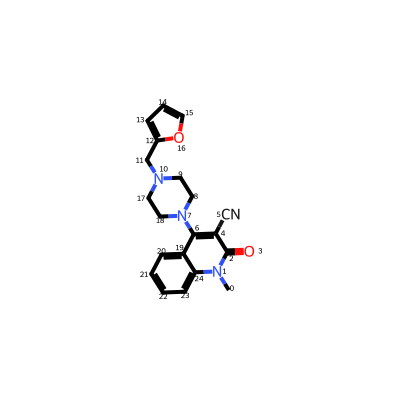 Cn1c(=O)c(C#N)c(N2CCN(Cc3ccco3)CC2)c2ccccc21